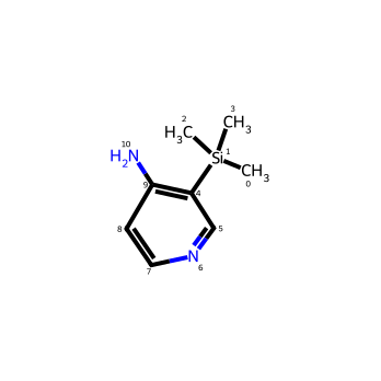 C[Si](C)(C)c1cnccc1N